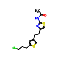 CC(=O)Nc1nc(CCc2csc(CCCCl)c2)cs1